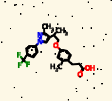 Cc1cc(OCC(C)c2cn(-c3ccc(C(F)(F)F)cc3)nc2C)ccc1CCC(=O)O